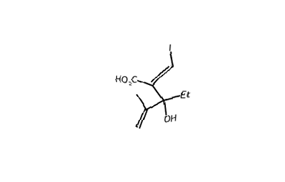 C=C(C)C(O)(CC)C(=CI)C(=O)O